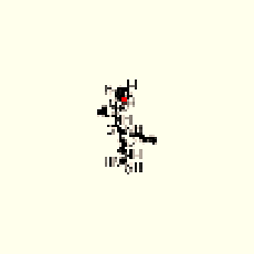 C=C/C=C/C(=O)N[C@@H](CCCNC(=N)NC)C(=O)N[C@@H](CC(C)C)B1O[C@@H]2C[C@@H]3C[C@@H](C3(C)C)[C@]2(C)O1